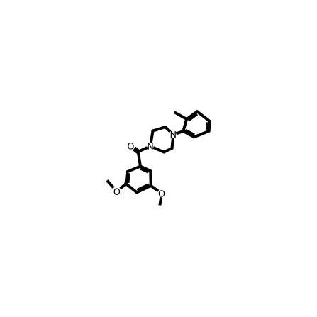 COc1cc(OC)cc(C(=O)N2CCN(c3ccccc3C)CC2)c1